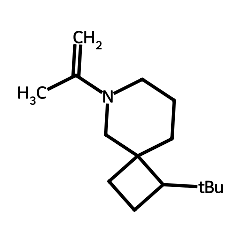 C=C(C)N1CCCC2(CCC2C(C)(C)C)C1